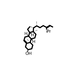 C/C=C(/CC[C@@H](C)[C@H]1CC[C@H]2[C@@H]3CC=C4C[C@H](O)CC[C@]4(C)[C@H]3CC[C@]12C)C(C)C